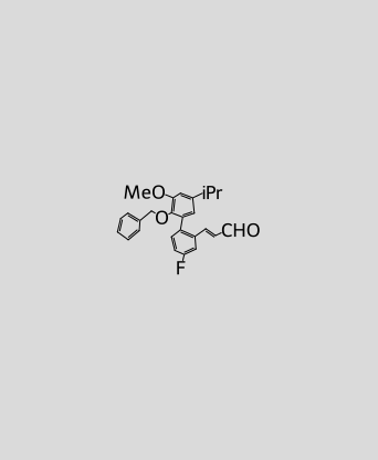 COc1cc(C(C)C)cc(-c2ccc(F)cc2/C=C/C=O)c1OCc1ccccc1